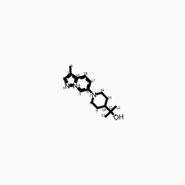 Cc1cnn2cc(N3CCC(C(C)(C)O)CC3)ccc12